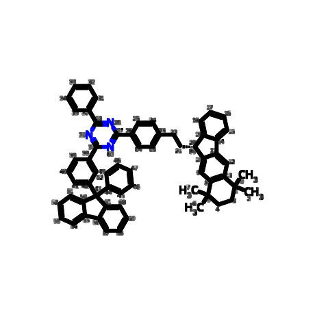 CC1(C)CCC(C)(C)c2cc3c(cc21)-c1ccccc1[C@H]3CCc1ccc(-c2nc(-c3ccccc3)nc(-c3cccc(C4(c5ccccc5)c5ccccc5-c5ccccc54)c3)n2)cc1